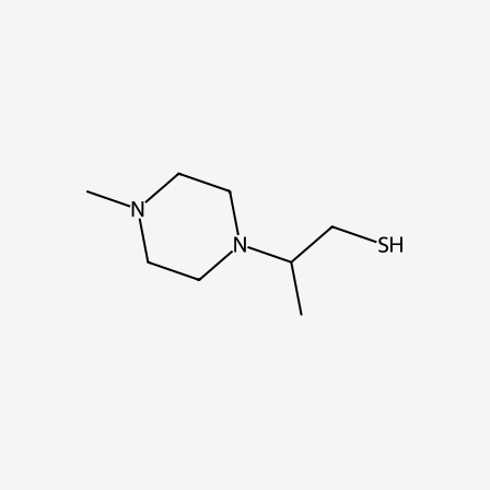 CC(CS)N1CCN(C)CC1